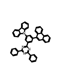 c1ccc(-c2nc(-c3ccccc3)nc(-c3cc(-c4cc5ccccc5c5ccccc45)cc(-n4c5ccccc5c5ccccc54)c3)n2)cc1